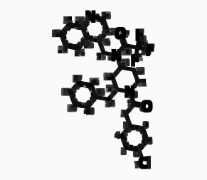 O=C(Cc1ccc(Cl)cc1)N1CCC(N(Cc2ccnc3ccccc23)C(=O)C(F)(F)F)CC1Cc1ccccc1